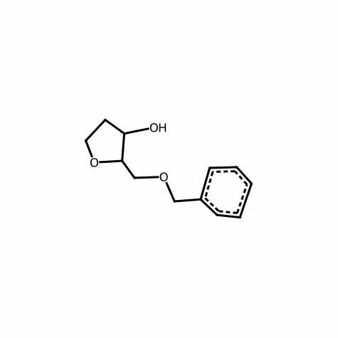 OC1CCOC1COCc1ccccc1